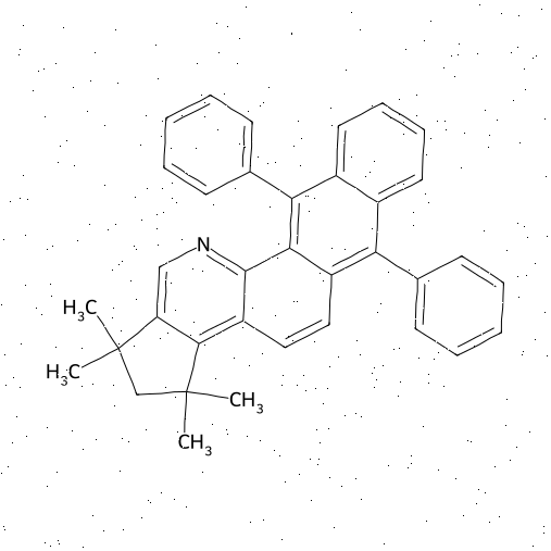 CC1(C)CC(C)(C)c2c1cnc1c2ccc2c(-c3ccccc3)c3ccccc3c(-c3ccccc3)c21